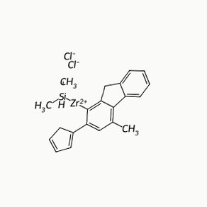 Cc1cc(C2=CC=CC2)[c]([Zr+2][SiH](C)C)c2c1-c1ccccc1C2.[Cl-].[Cl-]